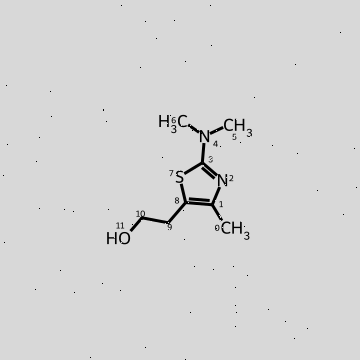 Cc1nc(N(C)C)sc1CCO